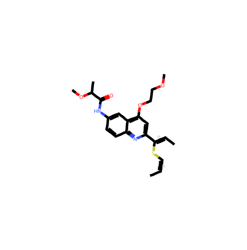 C/C=C\S/C(=C\C)c1cc(OCCOC)c2cc(NC(=O)C(C)OC)ccc2n1